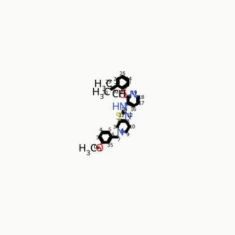 COc1cccc(CN2CCc3nc(Nc4cccnc4Oc4ccccc4C(C)(C)C)sc3C2)c1